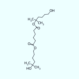 CC(C)(O)CCCCOC(=O)CCCCC(=O)OC(C)(C)CCCCO